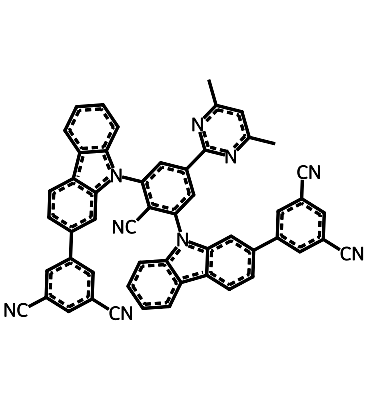 Cc1cc(C)nc(-c2cc(-n3c4ccccc4c4ccc(-c5cc(C#N)cc(C#N)c5)cc43)c(C#N)c(-n3c4ccccc4c4ccc(-c5cc(C#N)cc(C#N)c5)cc43)c2)n1